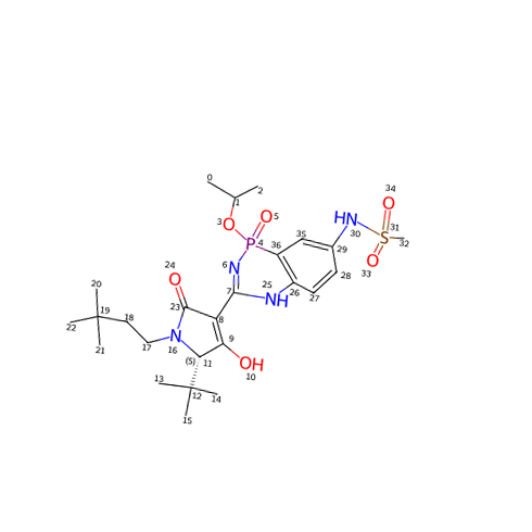 CC(C)OP1(=O)N=C(C2=C(O)[C@H](C(C)(C)C)N(CCC(C)(C)C)C2=O)Nc2ccc(NS(C)(=O)=O)cc21